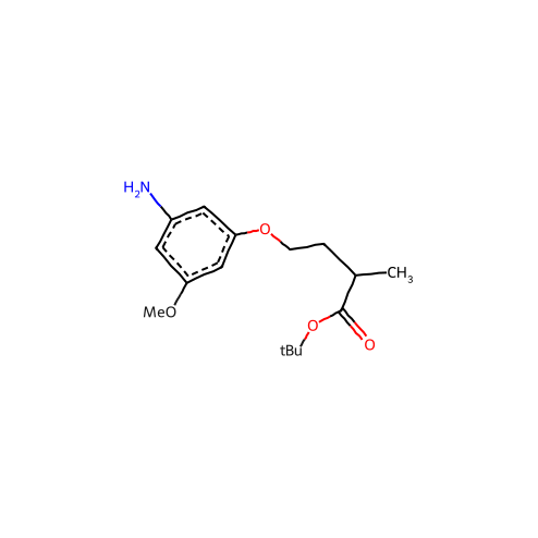 COc1cc(N)cc(OCCC(C)C(=O)OC(C)(C)C)c1